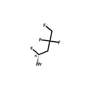 [CH2]CC[C@H](F)CC(F)(F)CF